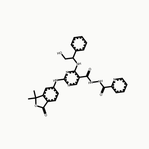 CC1(C)OC(=O)c2ccc(Nc3ncc(C(=O)NNC(=O)c4ccccn4)c(NC(CO)c4ccccc4)n3)cc21